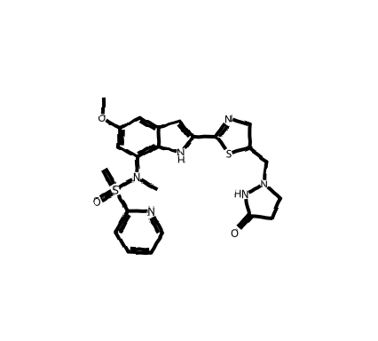 C=S(=O)(c1ccccn1)N(C)c1cc(OC)cc2cc(C3=NCC(CN4CCC(=O)N4)S3)[nH]c12